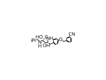 CC(C)CNC[C@@H](O)[C@H](Cc1ccc(OCc2cccc(C#N)c2)cc1)NC(=O)O